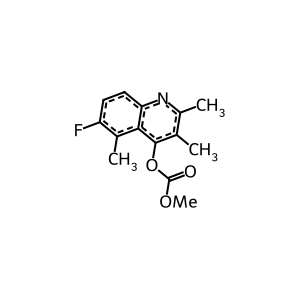 COC(=O)Oc1c(C)c(C)nc2ccc(F)c(C)c12